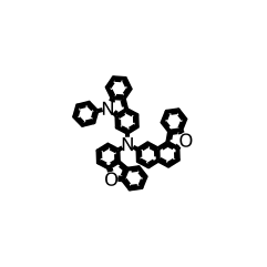 c1ccc(-n2c3ccccc3c3ccc(N(c4ccc5ccc6oc7ccccc7c6c5c4)c4cccc5oc6ccccc6c45)cc32)cc1